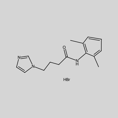 Br.Cc1cccc(C)c1NC(=O)CCCn1ccnc1